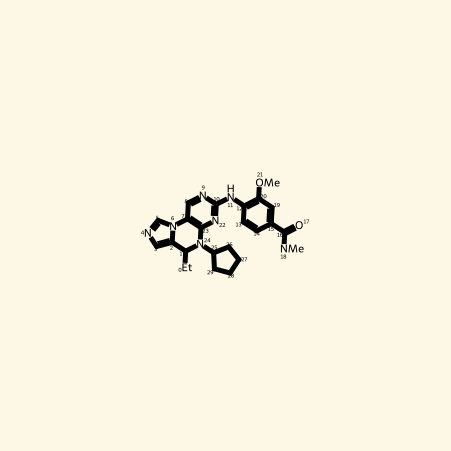 CCC1c2cncn2-c2cnc(Nc3ccc(C(=O)NC)cc3OC)nc2N1C1CCCC1